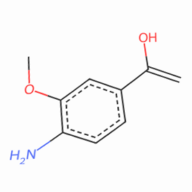 C=C(O)c1ccc(N)c(OC)c1